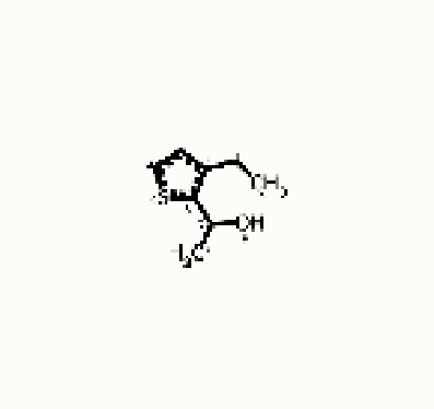 CCc1ccsc1C(C)O